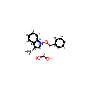 Cc1cn(OCc2ccccc2)c2ccccc12.OCO